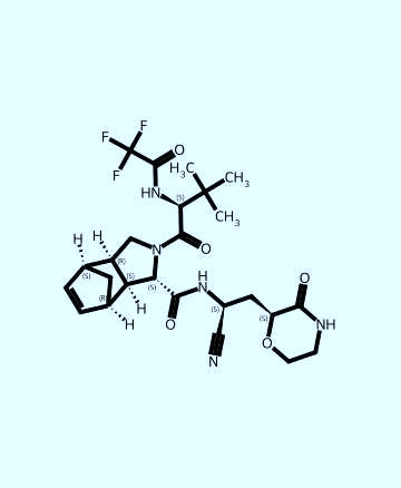 CC(C)(C)[C@H](NC(=O)C(F)(F)F)C(=O)N1C[C@H]2[C@@H]([C@H]1C(=O)N[C@H](C#N)C[C@@H]1OCCNC1=O)[C@H]1C=C[C@@H]2C1